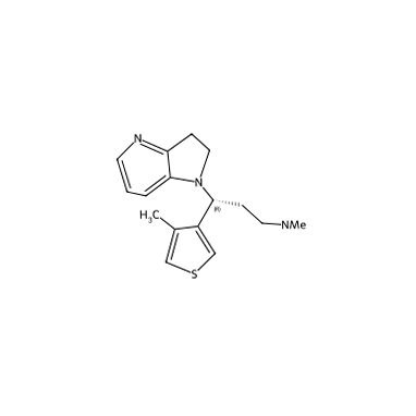 CNCC[C@H](c1cscc1C)N1CCc2ncccc21